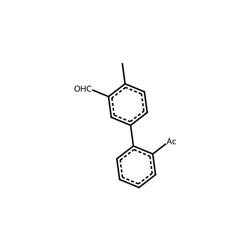 CC(=O)c1ccccc1-c1ccc(C)c(C=O)c1